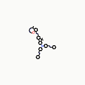 C=C1/C=C\C=C/COc2c(/C=C/c3ccc4c(c3)C(C)(C)c3cc(N(c5ccc(/C=C/c6ccccc6)cc5)c5ccc(/C=C/c6ccccc6)cc5)ccc3-4)cccc21